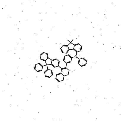 CC1(C)c2ccccc2-c2c(N(c3ccccc3)c3cccc(C4=C(c5ccc6c(c5)C(c5ccccc5)(c5ccccc5)c5ccccc5-6)C5=CC=CCC5CC4)c3)cccc21